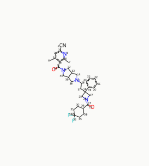 Cc1cc(C#N)nc(C)c1C(=O)N1CC2CN(CCC3(c4ccccc4)CN(C(=O)C4CCC(F)(F)CC4)C3)CC2C1